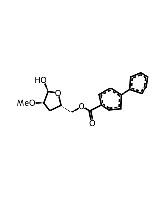 CO[C@@H]1C[C@@H](COC(=O)c2ccc(-c3ccccc3)cc2)O[C@@H]1O